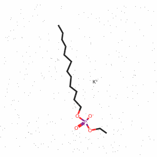 CCCCCCCCCCCCOP(=O)([O-])OCC.[K+]